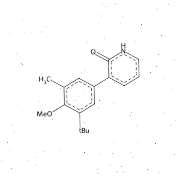 COc1c(C)cc(-c2ccc[nH]c2=O)cc1C(C)(C)C